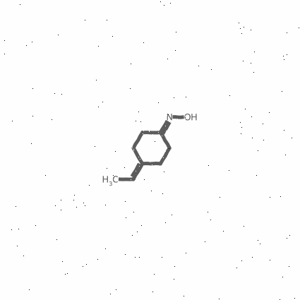 CC=C1CCC(=NO)CC1